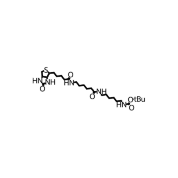 CC(C)(C)OC(=O)NCCCCCCNC(=O)CCCCCNC(=O)CCCCC1SCC2NC(=O)NC21